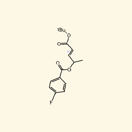 CC(/C=C/C(=O)OC(C)(C)C)OC(=O)c1ccc(F)cc1